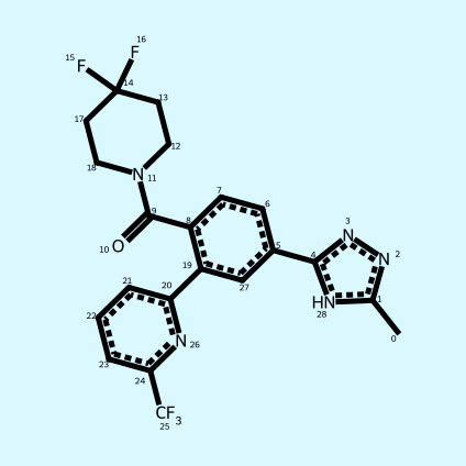 Cc1nnc(-c2ccc(C(=O)N3CCC(F)(F)CC3)c(-c3cccc(C(F)(F)F)n3)c2)[nH]1